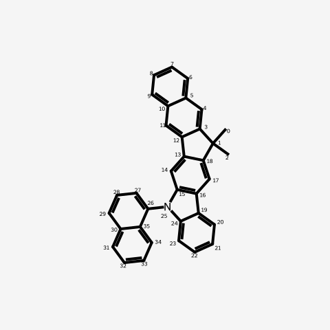 CC1(C)c2cc3ccccc3cc2-c2cc3c(cc21)c1ccccc1n3-c1cccc2ccccc12